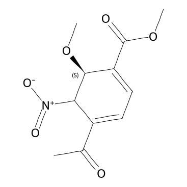 COC(=O)C1=CC=C(C(C)=O)C([N+](=O)[O-])[C@H]1OC